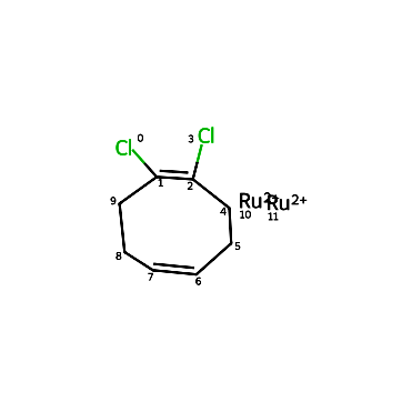 ClC1=C(Cl)CCC=CCC1.[Ru+2].[Ru+2]